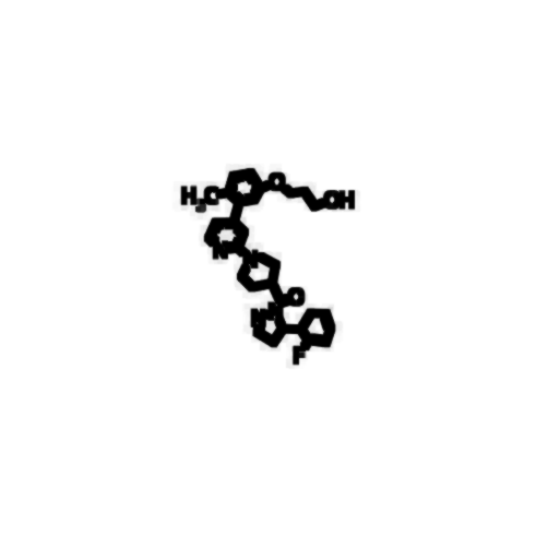 Cc1ccc(OCCCO)cc1-c1ccnc(N2CCC(C(=O)N3N=CCC3C3CC=CC=C3F)CC2)c1